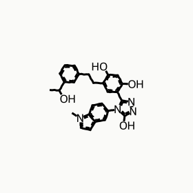 CC(O)c1cccc(CCc2cc(-c3nnc(O)n3-c3ccc4c(ccn4C)c3)c(O)cc2O)c1